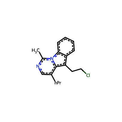 CCCc1cnc(C)n2c1c(CCCl)c1ccccc12